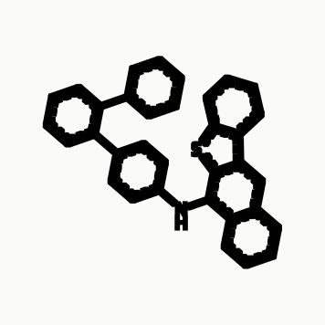 c1ccc(-c2ccccc2-c2ccc(Nc3c4ccccc4cc4c3sc3ccccc34)cc2)cc1